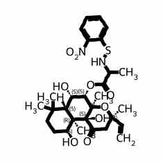 C=C[C@@]1(C)CC(=O)[C@]2(O)[C@@]3(C)[C@@H](O)CCC(C)(C)[C@@H]3[C@H](O)[C@H](OC(=O)C(C)NSc3ccccc3[N+](=O)[O-])[C@@]2(C)O1